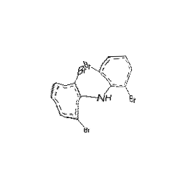 Brc1cccc(Br)c1Nc1c(Br)cccc1Br